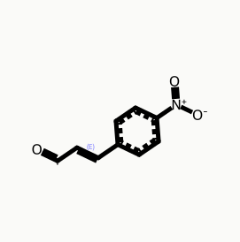 O=[C]/C=C/c1ccc([N+](=O)[O-])cc1